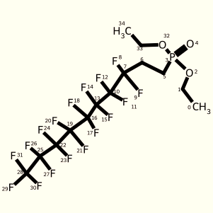 CCOP(=O)(CCC(F)(F)C(F)(F)C(F)(F)C(F)(F)C(F)(F)C(F)(F)C(F)(F)C(F)(F)F)OCC